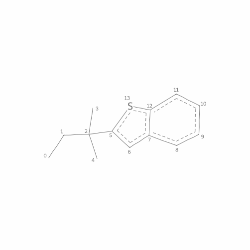 CCC(C)(C)c1cc2ccccc2s1